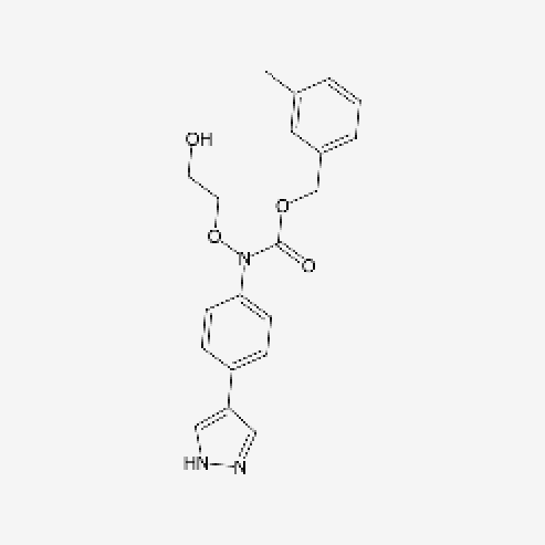 Cc1cccc(COC(=O)N(OCCO)c2ccc(-c3cn[nH]c3)cc2)c1